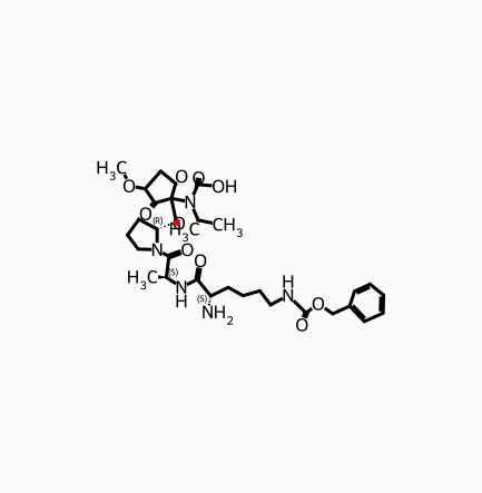 COC1CC(=O)C(C(=O)[C@H]2CCCN2C(=O)[C@H](C)NC(=O)[C@@H](N)CCCCNC(=O)OCc2ccccc2)(N(C(=O)O)C(C)C)C1=O